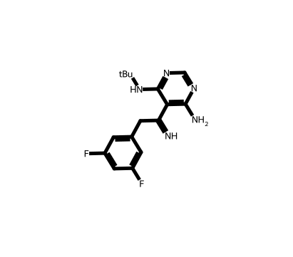 CC(C)(C)Nc1ncnc(N)c1C(=N)Cc1cc(F)cc(F)c1